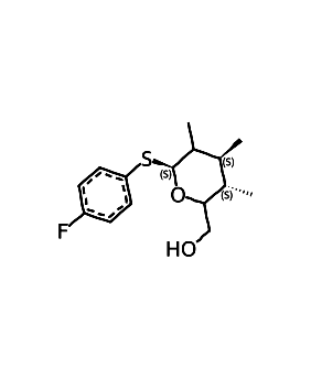 CC1[C@@H](C)[C@H](C)C(CO)O[C@H]1Sc1ccc(F)cc1